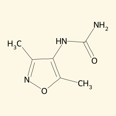 Cc1noc(C)c1NC(N)=O